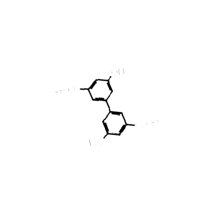 CCOC(=O)c1cc(O)cc(-c2cc(O)cc(C(=O)OCC)c2)c1